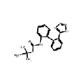 CC(C)(C)OC(=O)Nc1ccccc1-c1ccccc1-c1nnn[nH]1